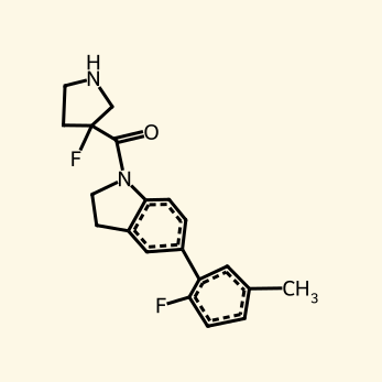 Cc1ccc(F)c(-c2ccc3c(c2)CCN3C(=O)C2(F)CCNC2)c1